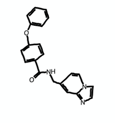 O=C(NCc1ccn2ccnc2c1)c1ccc(Oc2ccccc2)cc1